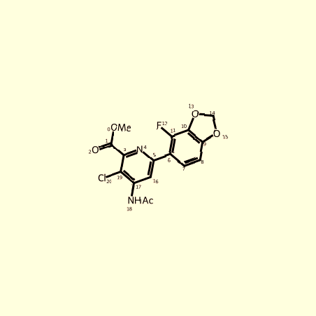 COC(=O)c1nc(-c2ccc3c(c2F)OCO3)cc(NC(C)=O)c1Cl